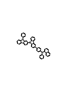 c1ccc(N(c2ccc(-c3ccc4c(c3)c3ccccc3n4-c3ccc4c5ccccc5n(-c5ccccc5)c4c3)cc2)c2cccc3ccccc23)cc1